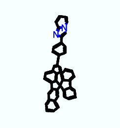 c1ccc2c(c1)-c1ccccc1C21c2cc3ccccc3cc2-c2ccc3cc(-c4ccc(-c5cn6ccccc6n5)cc4)ccc3c21